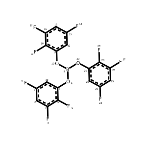 Fc1cc(F)c(F)c(OB(Oc2cc(F)cc(F)c2F)Oc2cc(F)cc(F)c2F)c1